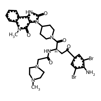 CN1CCN(CC(=O)N[C@H](CC(=O)c2cc(Br)c(N)c(Br)c2)C(=O)N2CCC(n3c(=O)[nH]c4c5ccccc5n(C)c(=O)c43)CC2)CC1